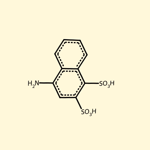 Nc1cc(S(=O)(=O)O)c(S(=O)(=O)O)c2ccccc12